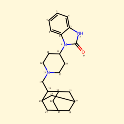 O=c1[nH]c2ccccc2n1C1CCN(CC2C3CC4CC(C3)CC2C4)CC1